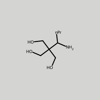 CCCC(N)C(CO)(CO)CO